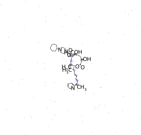 C\C(=C/C=C/C=C/[C@@H](C)c1ccccn1)C1OC(=O)C[C@H](O)CC[C@@](C)(O)[C@@H](OC(=O)N2CCN(C3CCCCCC3)CC2)/C=C/[C@@H]1C